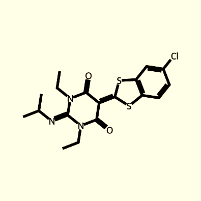 CCN1C(=O)C(=C2Sc3ccc(Cl)cc3S2)C(=O)N(CC)C1=NC(C)C